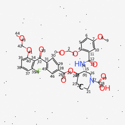 COCOc1ccc(OC)cc1C(=O)N[C@@H]1CN(C(=O)O)CCC[C@H]1OC(=O)c1ccc(C(=O)c2c(F)cccc2OCOC)cc1